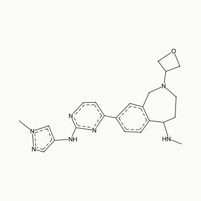 CNC1CCN(C2COC2)Cc2cc(-c3ccnc(Nc4cnn(C)c4)n3)ccc21